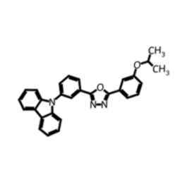 CC(C)Oc1cccc(-c2nnc(-c3cccc(-n4c5ccccc5c5ccccc54)c3)o2)c1